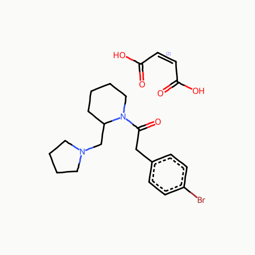 O=C(Cc1ccc(Br)cc1)N1CCCCC1CN1CCCC1.O=C(O)/C=C\C(=O)O